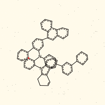 C1=Cc2c(n(-c3ccccc3N(c3ccc(-c4cccc(-c5ccccc5)c4)cc3)c3cc(-c4cc5ccccc5c5ccccc45)ccc3-c3ccccc3)c3ccccc23)CC1